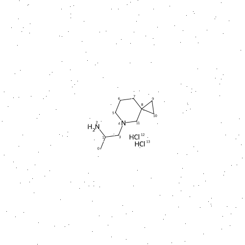 CC(N)CN1CCCC2(CC2)C1.Cl.Cl